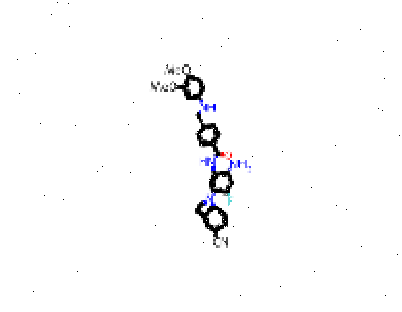 COc1ccc(NCc2ccc(C(=O)Nc3cc(-n4ccc5cc(C#N)ccc54)c(F)cc3N)cc2)cc1OC